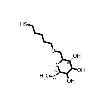 CO[C@H]1OC(COCCCCCS)[C@H](O)C(O)C1O